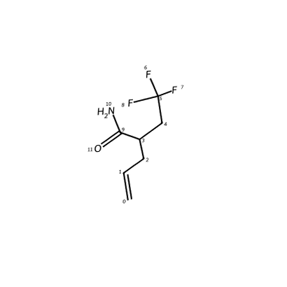 C=CCC(CC(F)(F)F)C(N)=O